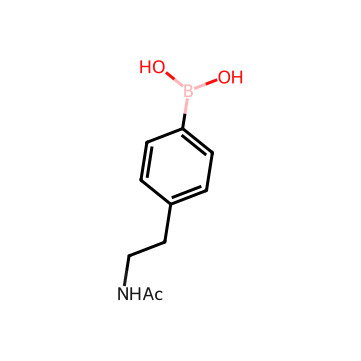 CC(=O)NCCc1ccc(B(O)O)cc1